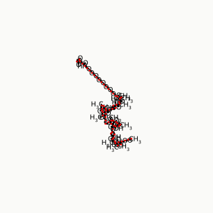 COCCOCCC(=O)N[C@H](C(=O)NC(C)C(=O)Nc1ccc(COC(=O)N2c3cc(OCCCCCOc4cc5c(cc4OC)C(=O)N4C=C(C)C[C@H]4[C@H](O)N5C(=O)OCc4ccc(NC(=O)[C@H](C)NC(=O)[C@@H](NC(=O)CCOCCOCCOCCOCCOCCOCCOCCOCCNC(=O)CCN5C(=O)C=CC5=O)C(C)C)cc4)c(OC)cc3C(=O)N3C=C(C)C[C@H]3[C@@H]2O)cc1)C(C)C